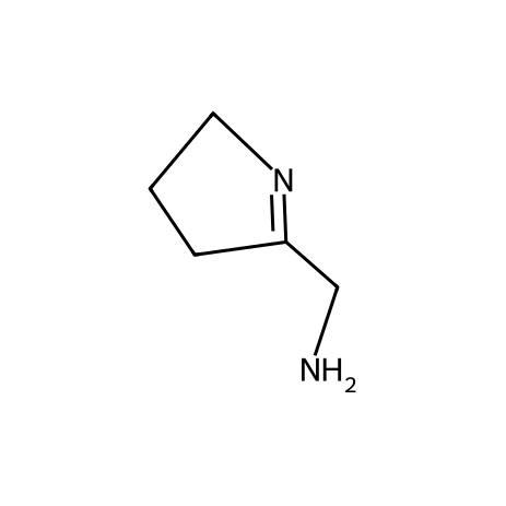 NCC1=NCCC1